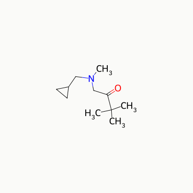 CN(CC(=O)C(C)(C)C)CC1CC1